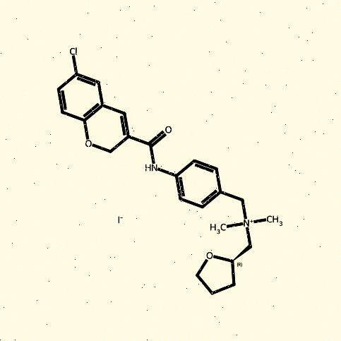 C[N+](C)(Cc1ccc(NC(=O)C2=Cc3cc(Cl)ccc3OC2)cc1)C[C@H]1CCCO1.[I-]